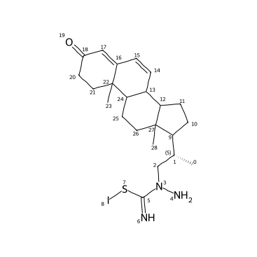 C[C@H](CN(N)C(=N)SI)C1CCC2C3C=CC4=CC(=O)CCC4(C)C3CCC21C